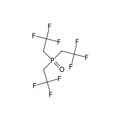 O=P(CC(F)(F)F)(CC(F)(F)F)CC(F)(F)F